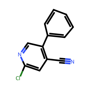 N#Cc1cc(Cl)ncc1-c1ccccc1